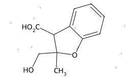 CC1(CO)Oc2ccccc2C1C(=O)O